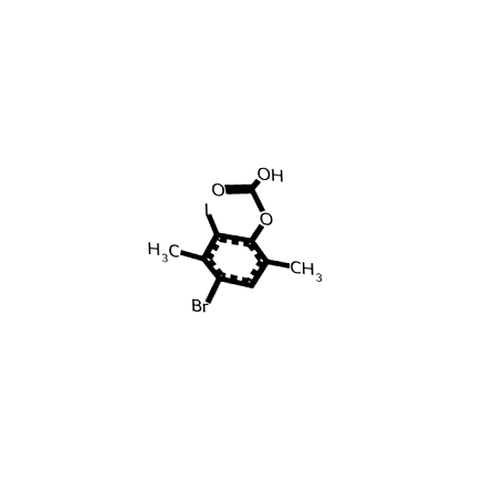 Cc1cc(Br)c(C)c(I)c1OC(=O)O